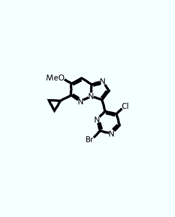 COc1cc2ncc(-c3nc(Br)ncc3Cl)n2nc1C1CC1